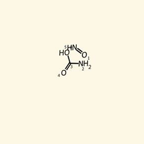 N=O.NC(=O)O